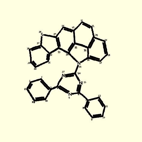 c1ccc(-c2nc(-c3ccccc3)nc(-n3c4cccc5ccc6cc7sc8ccccc8c7c3c6c54)n2)cc1